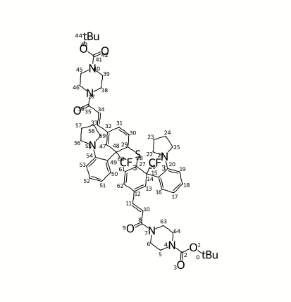 CC(C)(C)OC(=O)N1CCN(C(=O)C=CC2=CC(c3ccccc3N3CCCC3)(C(F)(F)F)C(SC3C=CC(C=CC(=O)N4CCN(C(=O)OC(C)(C)C)CC4)=CC3(c3ccccc3N3CCCC3)C(F)(F)F)C=C2)CC1